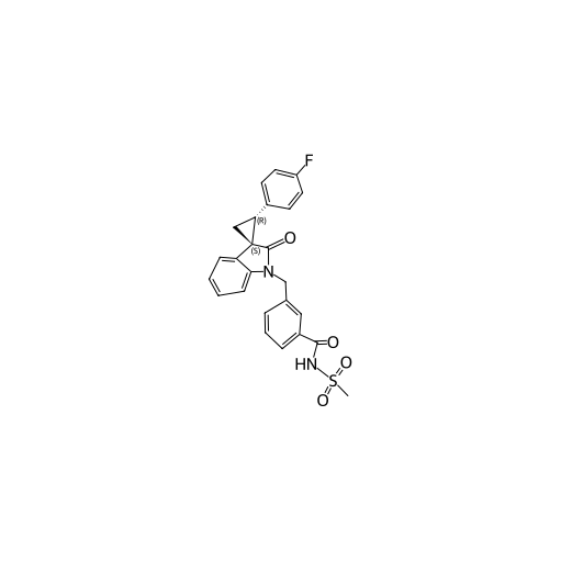 CS(=O)(=O)NC(=O)c1cccc(CN2C(=O)[C@]3(C[C@@H]3c3ccc(F)cc3)c3ccccc32)c1